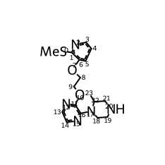 CSc1ncccc1OCCOc1nccnc1N1CCNCC1C